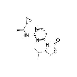 CC(C)[C@H]1COC(=O)N1c1ccnc(N[C@@H](C)C2CC2)n1